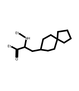 CCNC(CC1CCC2(CCCC2)CC1)C(=O)CC